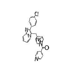 O=C(c1ccncc1)N1CC2CCC1CN2Cc1c(-c2ccc(Cl)cc2)nc2ccccn12